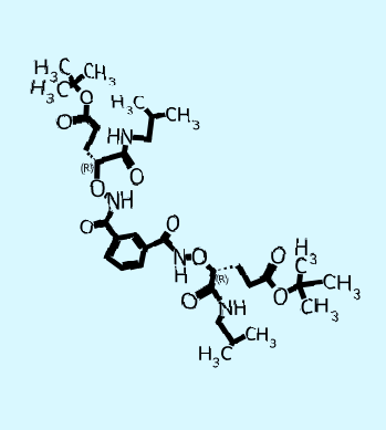 CC(C)CNC(=O)[C@@H](CCC(=O)OC(C)(C)C)ONC(=O)c1cccc(C(=O)NO[C@H](CCC(=O)OC(C)(C)C)C(=O)NCC(C)C)c1